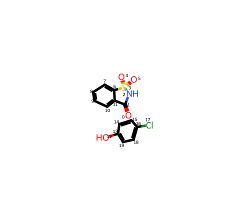 O=C1NS(=O)(=O)c2ccccc21.Oc1ccc(Cl)cc1